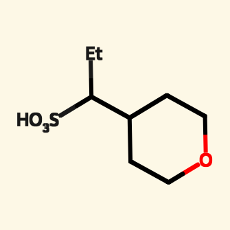 CCC(C1CCOCC1)S(=O)(=O)O